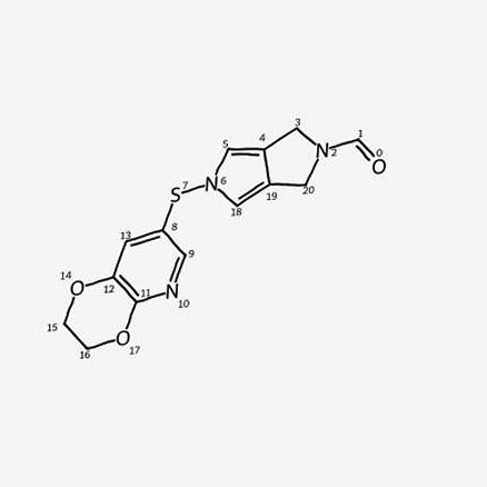 O=CN1Cc2cn(Sc3cnc4c(c3)OCCO4)cc2C1